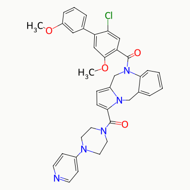 COc1cccc(-c2cc(OC)c(C(=O)N3Cc4ccc(C(=O)N5CCN(c6ccncc6)CC5)n4Cc4ccccc43)cc2Cl)c1